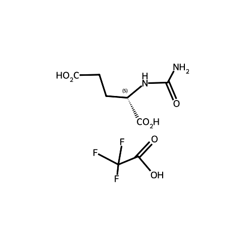 NC(=O)N[C@@H](CCC(=O)O)C(=O)O.O=C(O)C(F)(F)F